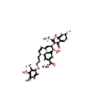 CCCc1c(OCCCC/C=C\C=C\[C@@H](c2c(C(=O)O)oc3c(c2=O)=CCC(=S)C=3)[C@@H](O)c2cccc(C(=O)OC)c2)ccc(C(C)=O)c1O